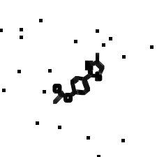 CC(=O)Oc1ccc(-c2nc(C)cs2)cc1